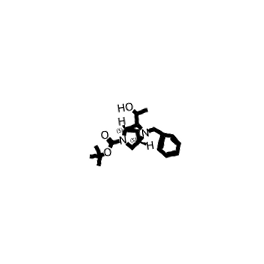 CC(O)C1[C@@H]2C[C@@H](CN2C(=O)OC(C)(C)C)N1Cc1ccccc1